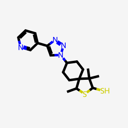 CC1SC(S)C(C)(C)C12CCC(n1cc(-c3cccnc3)nn1)CC2